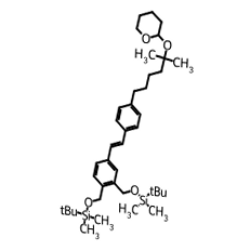 CC(C)(CCCCc1ccc(C=Cc2ccc(CO[Si](C)(C)C(C)(C)C)c(CO[Si](C)(C)C(C)(C)C)c2)cc1)OC1CCCCO1